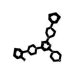 Fc1ccccc1N1CCN(c2cc(N3CCOCC3)nc(N3CCN(c4ccccc4)CC3)n2)CC1